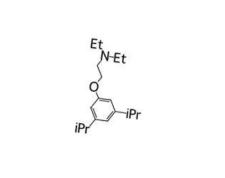 CCN(CC)CCOc1cc(C(C)C)cc(C(C)C)c1